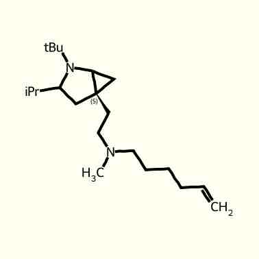 C=CCCCCN(C)CC[C@@]12CC(C(C)C)N(C(C)(C)C)C1C2